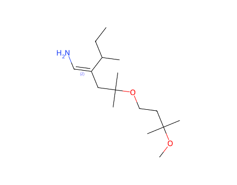 CCC(C)/C(=C\N)CC(C)(C)OCCC(C)(C)OC